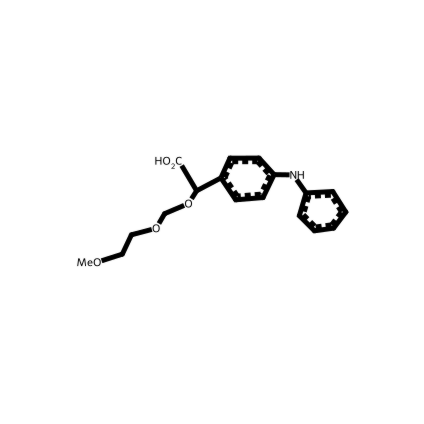 COCCOCOC(C(=O)O)c1ccc(Nc2ccccc2)cc1